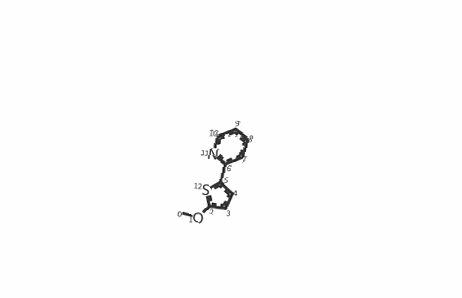 COc1ccc(-c2ccccn2)s1